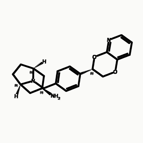 N[C@H]1C[C@H]2CC[C@@H](C1)N2Cc1ccc([C@H]2COc3cccnc3O2)cc1